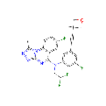 Cc1nnc2nc(N(CC(F)F)c3cc(F)cc(C#CC4(C)COC4)c3)c3cc(F)ccc3n12